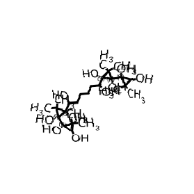 CC1(C)[C@](O)([C@]2(O)C(O)C2(C)C)[C@@]1(O)C(O)CCCCC(O)[C@@]1(O)C(C)(C)[C@]1(O)[C@]1(O)C(O)C1(C)C